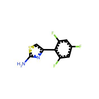 Nc1nc(-c2c(F)cc(F)cc2F)cs1